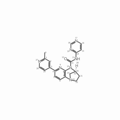 Cc1cc(-c2ccc3c(n2)N(C(=O)Nc2ccncn2)[C@H]2CCN3C2)ccn1